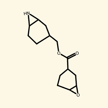 O=C(OCC1CCC2NC2C1)C1CCC2OC2C1